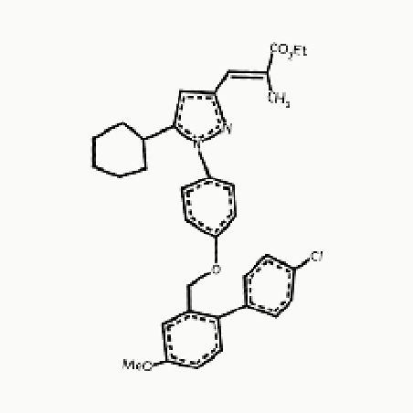 CCOC(=O)C(C)=Cc1cc(C2CCCCC2)n(-c2ccc(OCc3cc(OC)ccc3-c3ccc(Cl)cc3)cc2)n1